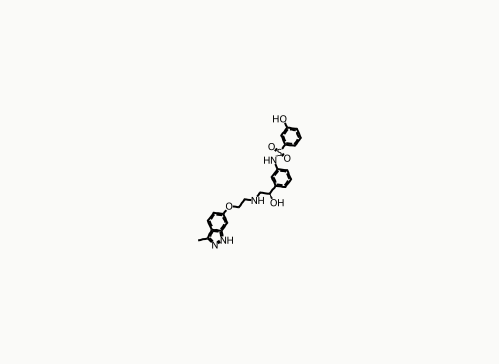 Cc1n[nH]c2cc(OCCNC[C@H](O)c3cccc(NS(=O)(=O)c4cccc(O)c4)c3)ccc12